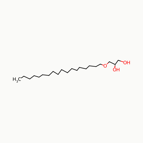 CCCCCCCCCCCCCCCCCCOC[C@H](O)CO